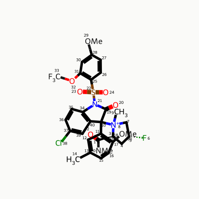 CNC(=O)[C@@H]1C[C@@H](F)C[N+]1(C)C1(c2cc(C)ccc2OC)C(=O)N(S(=O)(=O)c2ccc(OC)cc2OC(F)(F)F)c2ccc(Cl)cc21